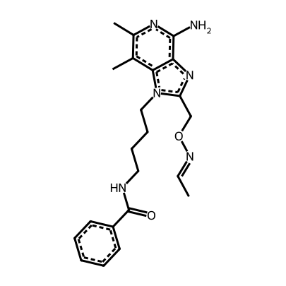 CC=NOCc1nc2c(N)nc(C)c(C)c2n1CCCCNC(=O)c1ccccc1